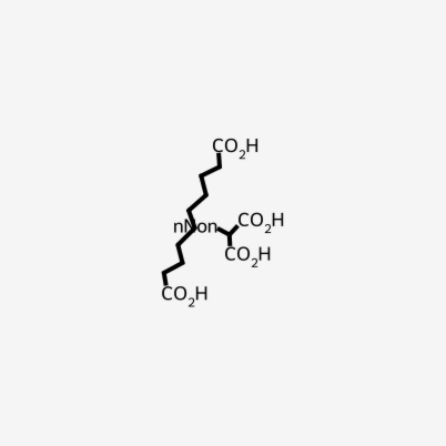 CCCCCCCCCC(C(=O)O)C(=O)O.O=C(O)CCCCCCCCC(=O)O